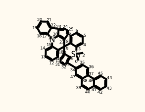 C[Si]1(C)c2ccccc2C2(c3ccccc3-n3c4ccccc4c4cccc2c43)c2cccc(-c3ccc4c(ccc5ccccc54)c3)c21